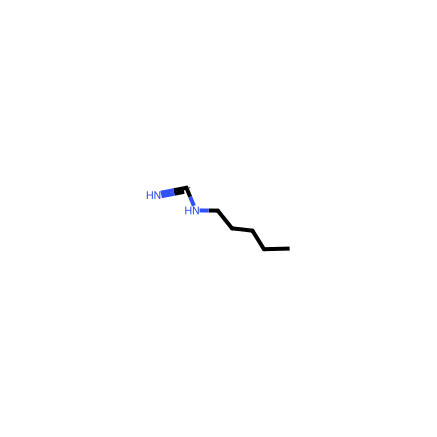 CCCCCN[C]=N